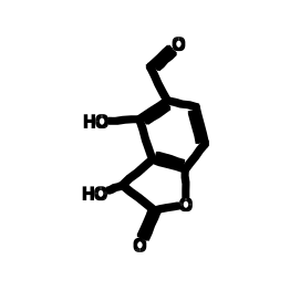 O=Cc1ccc2c(c1O)C(O)C(=O)O2